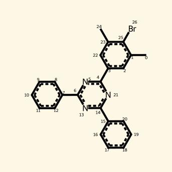 Cc1cc(-c2nc(-c3ccccc3)nc(-c3ccccc3)n2)cc(C)c1Br